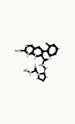 CSc1ncc2cc(-c3ccccc3C)c(C(=O)NC[C@H]3CCCN3C(=O)OC(C)(C)C)nc2n1